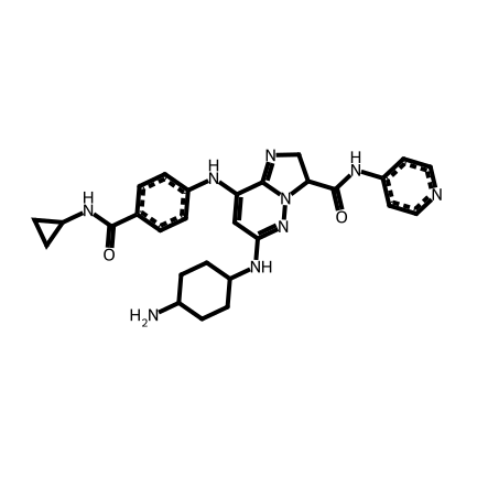 NC1CCC(NC2=NN3C(=NCC3C(=O)Nc3ccncc3)C(Nc3ccc(C(=O)NC4CC4)cc3)=C2)CC1